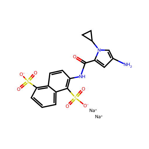 Nc1cc(C(=O)Nc2ccc3c(S(=O)(=O)[O-])cccc3c2S(=O)(=O)[O-])n(C2CC2)c1.[Na+].[Na+]